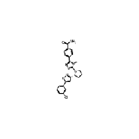 Cn1c(-c2ccc(C(N)=O)cc2)nnc1N1CCC[C@@H]1c1cc(-c2cccc(Cl)c2)on1